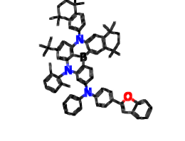 Cc1cccc(C)c1N1c2cc(N(c3ccccc3)c3ccc(-c4cc5ccccc5o4)cc3)ccc2B2c3cc4c(cc3N(c3ccc5c(c3)C(C)(C)CCC5(C)C)c3cc(C(C)(C)C)cc1c32)C(C)(C)CCC4(C)C